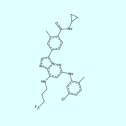 Cc1ccc(Cl)cc1Nc1cc(NCCCC(F)(F)F)c2ncc(-c3ccc(C(=O)NC4CC4)c(C)c3)n2n1